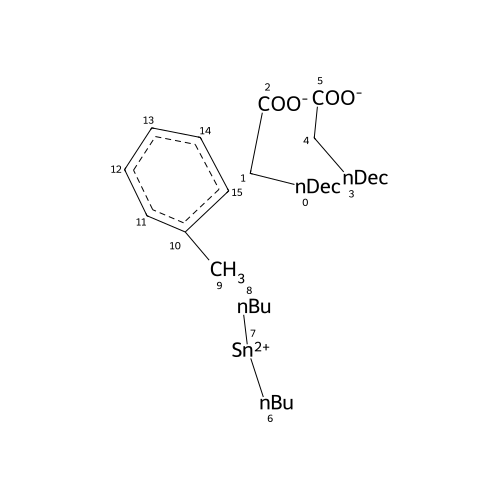 CCCCCCCCCCCC(=O)[O-].CCCCCCCCCCCC(=O)[O-].CCC[CH2][Sn+2][CH2]CCC.Cc1ccccc1